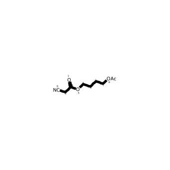 CC(=O)OCCCCOC(=O)CC#N